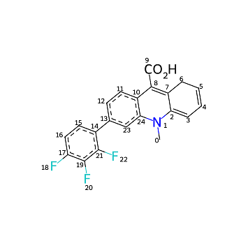 CN1C2=CC=CCC2=C(C(=O)O)c2ccc(-c3ccc(F)c(F)c3F)cc21